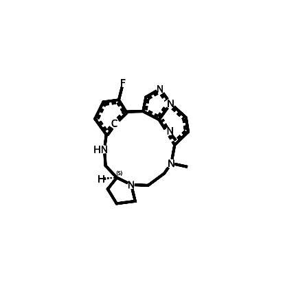 CN1CCN2CCC[C@H]2CNc2ccc(F)c(c2)-c2cnn3ccc1nc23